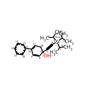 CC(C)[Si](C#CC1(O)C=CC(c2ccccc2)=CC1)(C(C)C)C(C)C